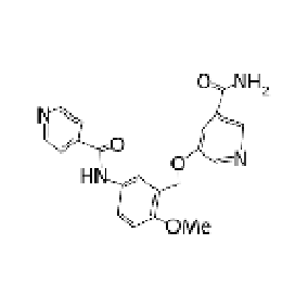 COc1ccc(NC(=O)c2ccncc2)cc1COc1cncc(C(N)=O)c1